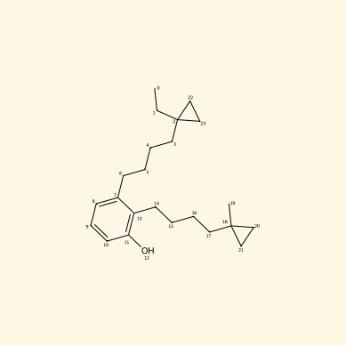 CCC1(CCCCc2cccc(O)c2CCCCC2(C)CC2)CC1